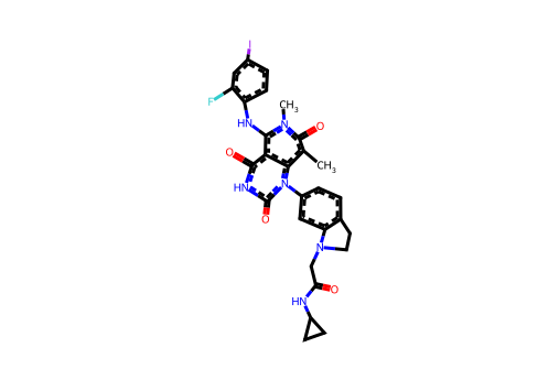 Cc1c(=O)n(C)c(Nc2ccc(I)cc2F)c2c(=O)[nH]c(=O)n(-c3ccc4c(c3)N(CC(=O)NC3CC3)CC4)c12